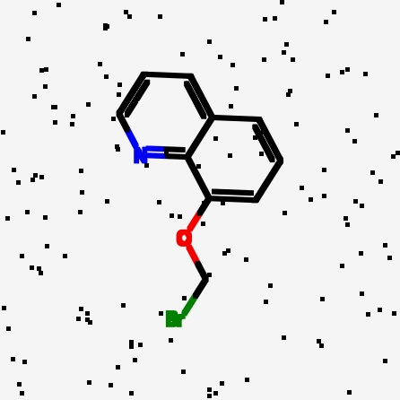 BrCOc1cccc2cccnc12